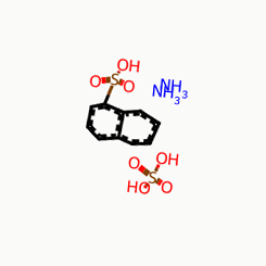 N.N.O=S(=O)(O)O.O=S(=O)(O)c1cccc2ccccc12